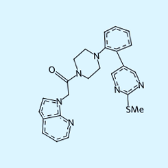 CSc1ncc(-c2ccccc2N2CCN(C(=O)Cn3ccc4cccnc43)CC2)cn1